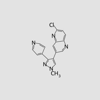 Cn1cc(-c2cnc3ccc(Cl)nc3c2)c(-c2ccncc2)n1